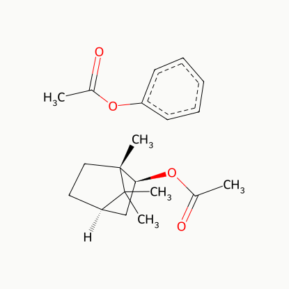 CC(=O)O[C@H]1C[C@H]2CC[C@@]1(C)C2(C)C.CC(=O)Oc1ccccc1